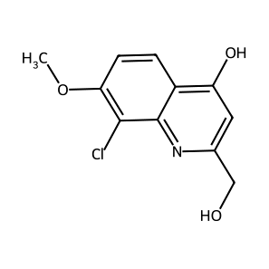 COc1ccc2c(O)cc(CO)nc2c1Cl